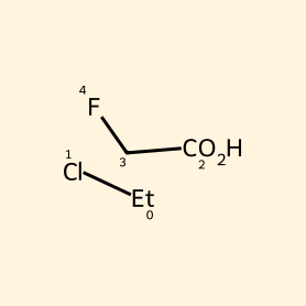 CCCl.O=C(O)CF